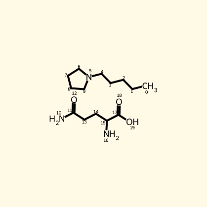 CCCCCN1CCCC1.NC(=O)CCC(N)C(=O)O